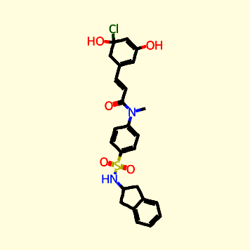 CN(C(=O)/C=C/C1=CC(O)=CC(O)(Cl)C1)c1ccc(S(=O)(=O)NC2Cc3ccccc3C2)cc1